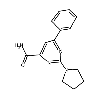 NC(=O)c1cc(-c2ccccc2)nc(N2CCCC2)n1